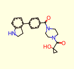 O=C(c1ccc(-c2cccc3c2CCN3)cc1)N1CCN(C(=O)C2(O)CC2)CC1